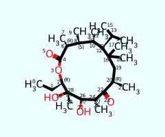 CC[C@H]1OC(=O)[C@H](C)[C@@H](C)[C@H](C)[C@@H](C(C)C)C(C)(C)C[C@@H](C)C(=O)[C@H](C)[C@@H](O)[C@]1(C)O